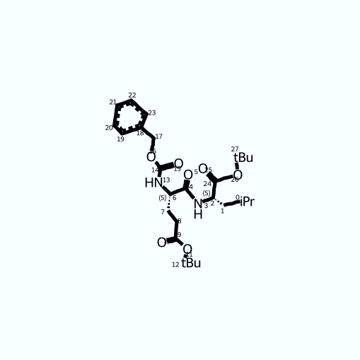 CC(C)C[C@H](NC(=O)[C@H](CCC(=O)OC(C)(C)C)NC(=O)OCc1ccccc1)C(=O)OC(C)(C)C